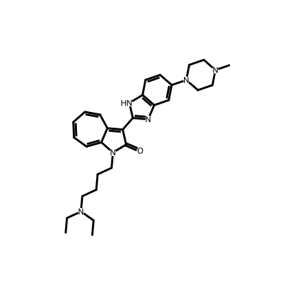 CCN(CC)CCCCn1c2cccccc-2c(-c2nc3cc(N4CCN(C)CC4)ccc3[nH]2)c1=O